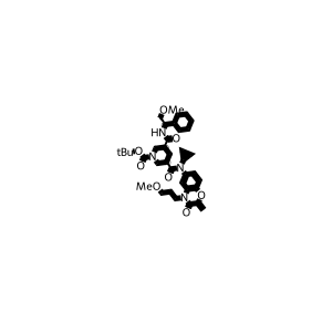 C=C1Oc2ccc(N(C(=O)[C@@H]3C[C@H](C(=O)N[C@@H](COC)C4CCCCC4)CN(C(=O)OC(C)(C)C)C3)C3CC3)cc2N(CCCOC)C1=O